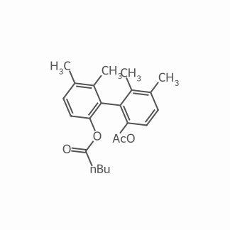 CCCCC(=O)Oc1ccc(C)c(C)c1-c1c(OC(C)=O)ccc(C)c1C